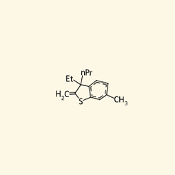 C=C1Sc2cc(C)ccc2C1(CC)CCC